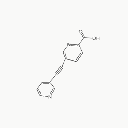 O=C(O)c1ccc(C#Cc2cccnc2)cn1